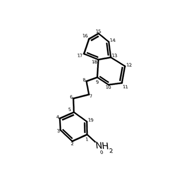 Nc1cccc(CCCc2cccc3ccccc23)c1